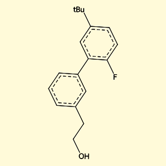 CC(C)(C)c1ccc(F)c(-c2cccc(CCO)c2)c1